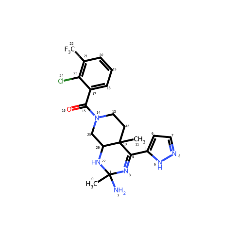 CC1(N)N=C(c2ccn[nH]2)C2(C)CCN(C(=O)c3cccc(C(F)(F)F)c3Cl)CC2N1